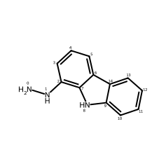 NNc1cccc2c1[nH]c1ccccc12